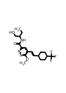 CCC(CO)NC(=O)c1cc(/C=C/C2CCC(C(F)(F)F)CC2)c(OC)nn1